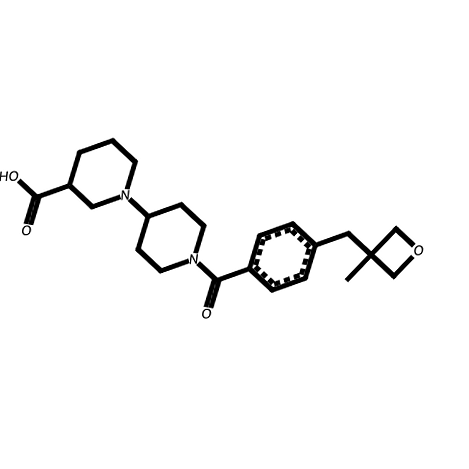 CC1(Cc2ccc(C(=O)N3CCC(N4CCCC(C(=O)O)C4)CC3)cc2)COC1